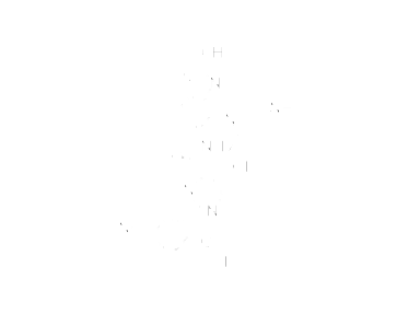 [2H]COc1ccc(C#N)c(F)c1-c1nccc(C(=O)Nc2ccc3sc(C)nc3c2N2C[C@H](N)C[C@H]2CO)n1